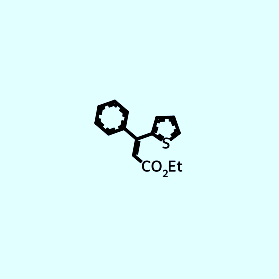 CCOC(=O)/C=C(/c1ccccc1)c1cccs1